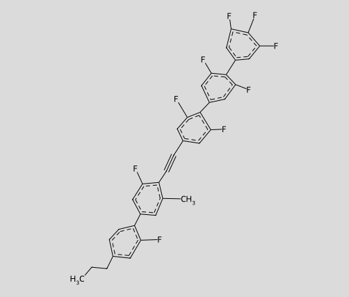 CCCc1ccc(-c2cc(C)c(C#Cc3cc(F)c(-c4cc(F)c(-c5cc(F)c(F)c(F)c5)c(F)c4)c(F)c3)c(F)c2)c(F)c1